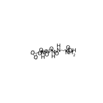 N[C@@H](CCCCNC(=O)CNC(=O)CNC(=O)CNC(=O)OCC1c2ccccc2-c2ccccc21)C(=O)O